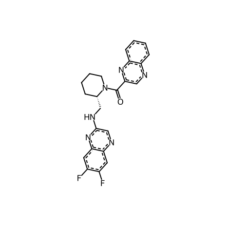 O=C(c1cnc2ccccc2n1)N1CCCC[C@H]1CNc1cnc2cc(F)c(F)cc2n1